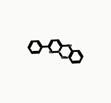 CON1NC(c2ccccc2)=CC=C1Nc1ccccc1